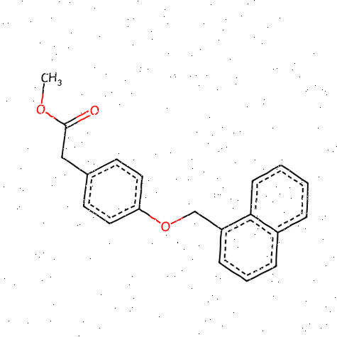 COC(=O)Cc1ccc(OCc2cccc3ccccc23)cc1